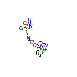 Cc1c(OC2CC3(C2)CN(CCCc2cn[nH]c(=O)c2Cl)C3)ccc2cnc(C(F)(F)F)n12